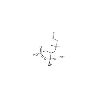 C=CC[N+](C)(C)CC(CS(=O)(=O)O)S(=O)(=O)O.[Na+]